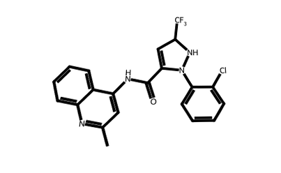 Cc1cc(NC(=O)C2=CC(C(F)(F)F)NN2c2ccccc2Cl)c2ccccc2n1